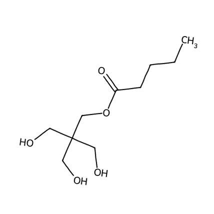 CCCCC(=O)OCC(CO)(CO)CO